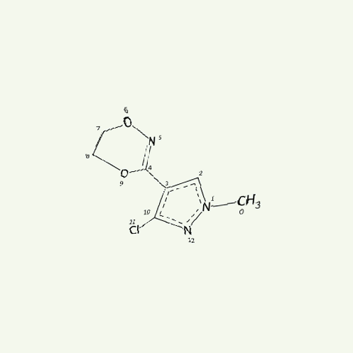 Cn1cc(C2=NOCCO2)c(Cl)n1